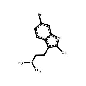 Cc1[nH]c2cc(Br)ccc2c1CCN(C)C